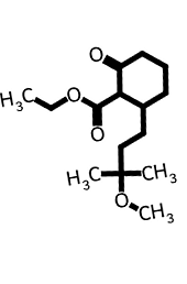 CCOC(=O)C1C(=O)CCCC1CCC(C)(C)OC